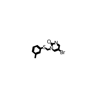 Cc1cccc(SCn2cc(Br)cnc2=O)c1